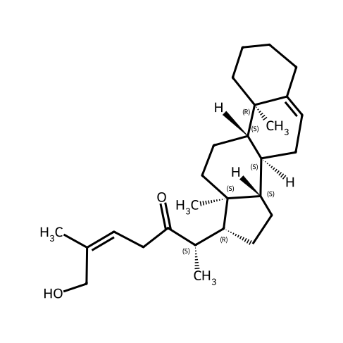 CC(=CCC(=O)[C@@H](C)[C@H]1CC[C@H]2[C@@H]3CC=C4CCCC[C@]4(C)[C@H]3CC[C@]12C)CO